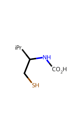 CC(C)C(CS)NC(=O)O